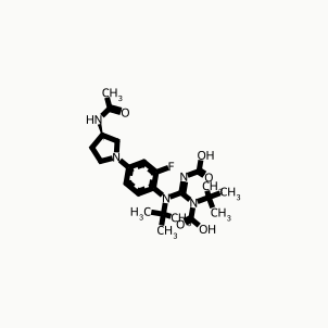 CC(=O)N[C@@H]1CCN(c2ccc(N(C(=NC(=O)O)N(C(=O)O)C(C)(C)C)C(C)(C)C)c(F)c2)C1